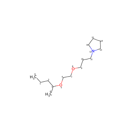 CCCC(C)OCCOCCCN1CCCC1